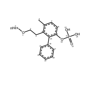 CCCCCCOCCc1c(C)ccc(OP(=O)(O)O)c1-c1ccccc1